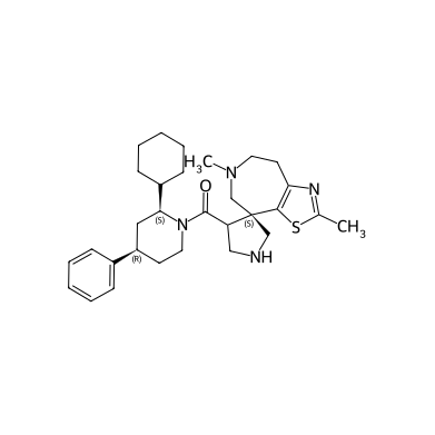 Cc1nc2c(s1)[C@@]1(CNCC1C(=O)N1CC[C@@H](c3ccccc3)C[C@H]1C1CCCCC1)CN(C)CC2